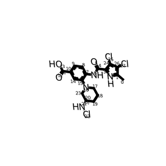 Cc1[nH]c(C(=O)Nc2ccc(C(=O)O)cc2N2CCC[C@H](NCl)C2)c(Cl)c1Cl